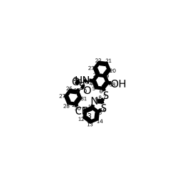 O=S(=O)(Nc1cc(Sc2nc3ccccc3s2)c(O)c2ccccc12)c1cccc(C(F)(F)F)c1